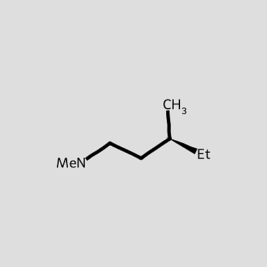 CC[C@H](C)CCNC